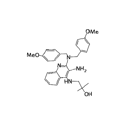 COc1ccc(CN(Cc2ccc(OC)cc2)c2nc3ccccc3c(NCC(C)(C)O)c2N)cc1